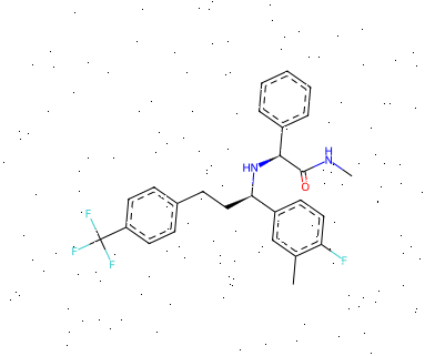 CNC(=O)[C@@H](N[C@H](CCc1ccc(C(F)(F)F)cc1)c1ccc(F)c(C)c1)c1ccccc1